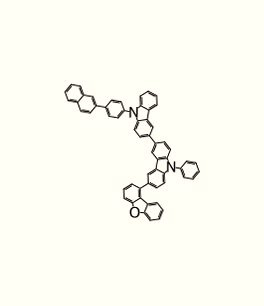 c1ccc(-n2c3ccc(-c4ccc5c(c4)c4ccccc4n5-c4ccc(-c5ccc6ccccc6c5)cc4)cc3c3cc(-c4cccc5oc6ccccc6c45)ccc32)cc1